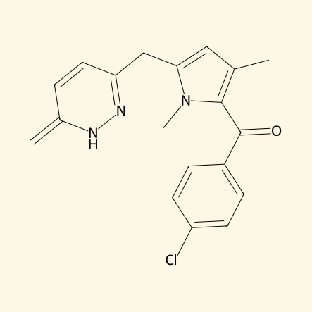 C=C1C=CC(Cc2cc(C)c(C(=O)c3ccc(Cl)cc3)n2C)=NN1